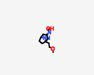 COCCC12CCC(C/C(=N\O)C1)N2